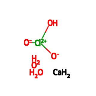 O.O.[CaH2].[O-][Cl+2]([O-])O